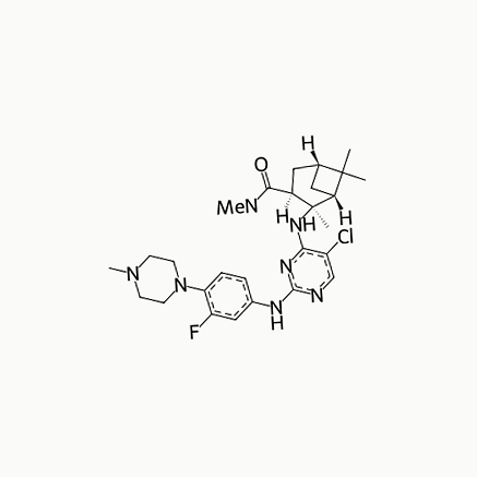 CNC(=O)[C@H]1C[C@H]2C[C@H](C2(C)C)[C@@]1(C)Nc1nc(Nc2ccc(N3CCN(C)CC3)c(F)c2)ncc1Cl